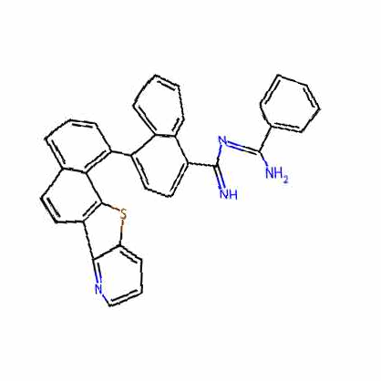 N=C(/N=C(\N)c1ccccc1)c1ccc(-c2cccc3ccc4c5ncccc5sc4c23)c2ccccc12